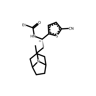 CCC(=O)N[C@@H](CCN1C2CCC1CC(C)C2)c1ccc(C#N)s1